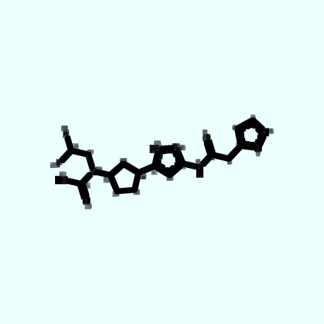 O=C(Cc1ccno1)Nc1cc(C2CCC(N(CC(F)F)C(=O)O)C2)[nH]n1